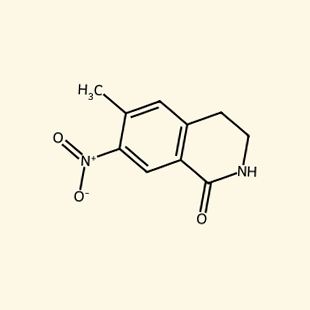 Cc1cc2c(cc1[N+](=O)[O-])C(=O)NCC2